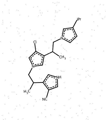 CC(C)c1ccn(CC(C)c2cn(CC(C)c3c[nH]cc3C#N)cc2Cl)c1